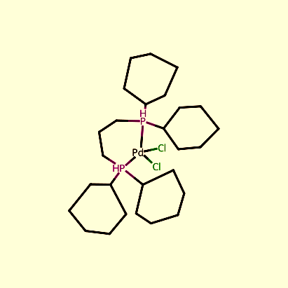 [Cl][Pd]1([Cl])[PH](C2CCCCC2)(C2CCCCC2)CCC[PH]1(C1CCCCC1)C1CCCCC1